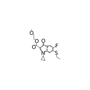 CCSc1cc2c(cc1F)c(=O)c(C(=O)OCCOC)cn2C1CC1